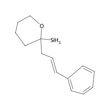 [SiH3]C1(CC=Cc2ccccc2)CCCCO1